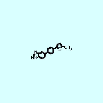 Cc1ccc(-c2[c]cc(-c3ccc4[nH]cnc4c3)cc2)s1